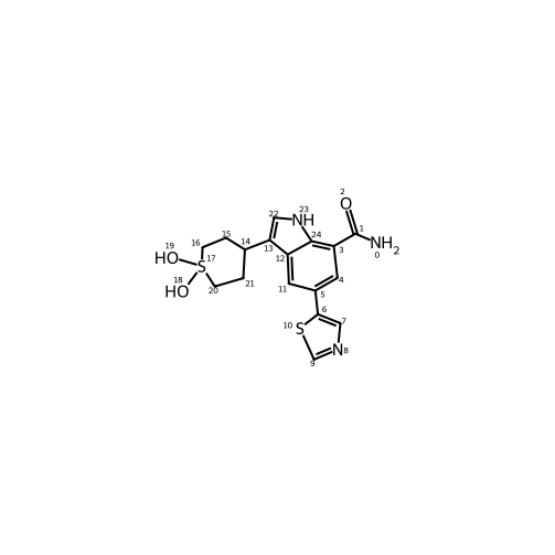 NC(=O)c1cc(-c2cncs2)cc2c(C3CCS(O)(O)CC3)c[nH]c12